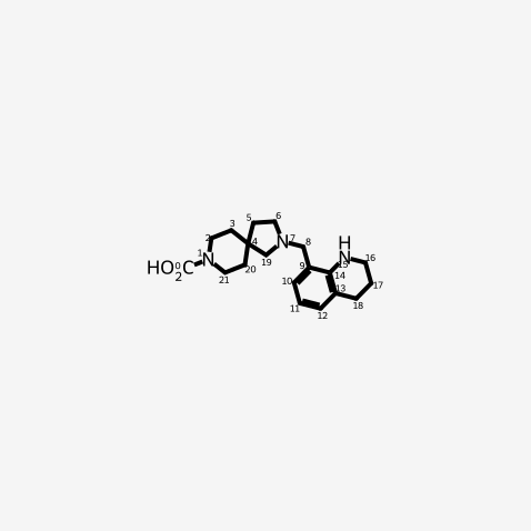 O=C(O)N1CCC2(CCN(Cc3cccc4c3NCCC4)C2)CC1